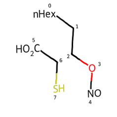 CCCCCCCCON=O.O=C(O)CS